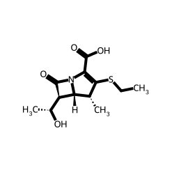 CCSC1=C(C(=O)O)N2C(=O)[C@H]([C@@H](C)O)[C@H]2[C@H]1C